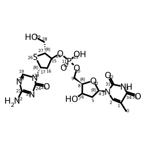 Cc1cn([C@H]2CC(O)[C@@H](COP(=O)(O)OC3C[C@H](n4cnc(N)nc4=O)S[C@@H]3CO)O2)c(=O)[nH]c1=O